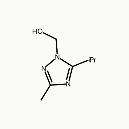 Cc1nc(C(C)C)n(CO)n1